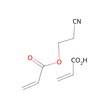 C=CC(=O)O.C=CC(=O)OCCC#N